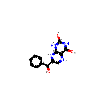 O=C(c1ccccc1)c1cnc2c(=O)[nH]c(=O)[nH]c2n1